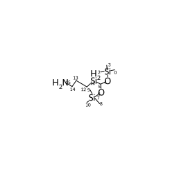 C[Si](C)(C)OC(O[Si](C)(C)C)[SiH2]CCCN